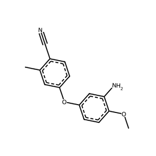 COc1ccc(Oc2ccc(C#N)c(C)c2)cc1N